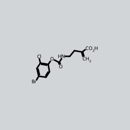 C=C(CCNC(=O)Oc1ccc(Br)cc1Cl)C(=O)O